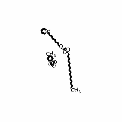 CCCCCCCCCCCCCCCCC[C@@H]1OC[C@@H](COCCCCCCCC[n+]2ccccc2)O1.Cc1ccc(S(=O)(=O)[O-])cc1